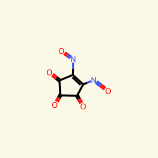 O=Nc1c(N=O)c(=O)c(=O)c1=O